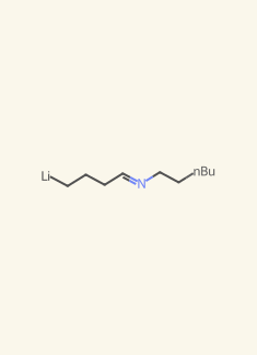 [Li][CH2]CCC=NCCCCCC